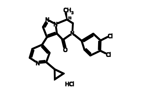 C[C@H]1CN(c2ccc(Cl)c(Cl)c2)C(=O)c2c(-c3ccnc(C4CC4)c3)cnn21.Cl